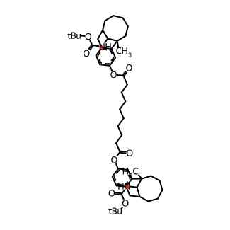 CC(C)(C)OC(=O)NC1C2CCCCCC1(C)c1cc(OC(=O)CCCCCCCCC(=O)Oc3ccc4c(c3)C3(C)CCCCCC(C4)C3NC(=O)OC(C)(C)C)ccc1C2